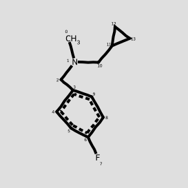 CN(Cc1ccc(F)cc1)CC1CC1